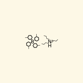 CCCC[NH+](CCCC)CCCC.Cc1cccc([B-](c2cccc(C)c2)(c2cccc(C)c2)c2cccc(C)c2)c1